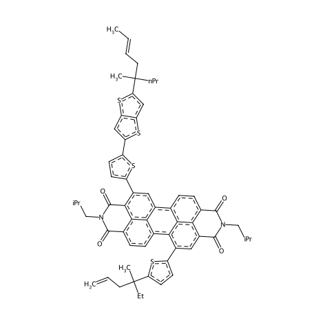 C=CCC(C)(CC)c1ccc(-c2cc3c4c(ccc5c6cc(-c7ccc(-c8cc9sc(C(C)(C/C=C/C)CCC)cc9s8)s7)c7c8c(ccc(c2c45)c86)C(=O)N(CC(C)C)C7=O)C(=O)N(CC(C)C)C3=O)s1